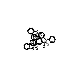 S=P1(c2cc(P3(=S)Sc4ccccc4N3c3ccccc3)cc(P3(=S)Sc4ccccc4N3c3ccccc3)c2)Sc2ccccc2N1c1ccccc1